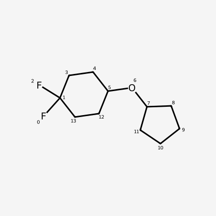 FC1(F)CCC(OC2CCCC2)CC1